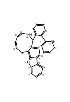 C[C@@]1(c2ccccc2C2=CC=CCN2)N/C=C\C=C/Cc2c1ccc1c2oc2ccccc21